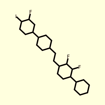 FC1CC(C2CCC(CCC3CCC(C4CCCCC4)C(F)C3F)CC2)CCC1I